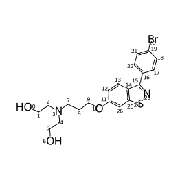 OCCN(CCO)CCCOc1ccc2c(-c3ccc(Br)cc3)nsc2c1